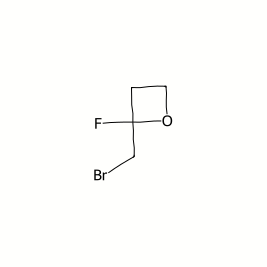 FC1(CBr)CCO1